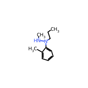 CCCN(NC)c1ccccc1C